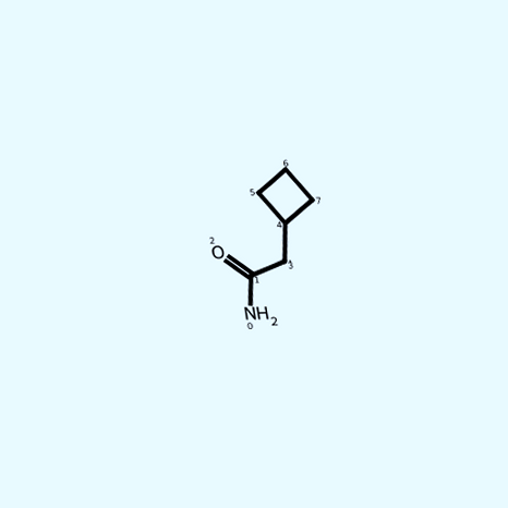 NC(=O)[CH]C1CCC1